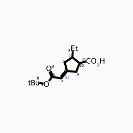 CCC1C/C(=C\C(=O)OC(C)(C)C)CC1C(=O)O